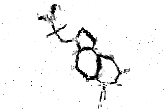 CN(C)C(C)(C)Cn1ccc2c3c(ccc21)[S+]([O-])CCC3